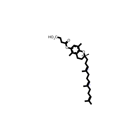 CC(C)=CCC/C(C)=C/CC/C(C)=C/CC[C@]1(C)CCc2c(C)c(OC(=O)CCC(=O)O)cc(C)c2O1